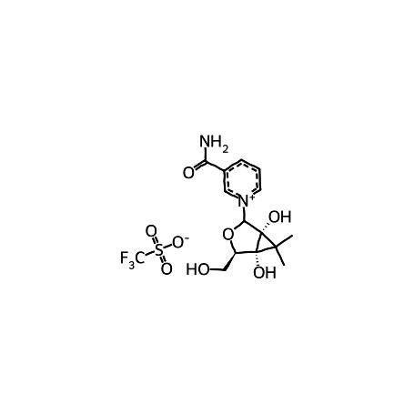 CC1(C)[C@]2(O)C([n+]3cccc(C(N)=O)c3)O[C@H](CO)[C@]12O.O=S(=O)([O-])C(F)(F)F